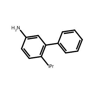 CC(C)c1ccc(N)cc1-c1ccccc1